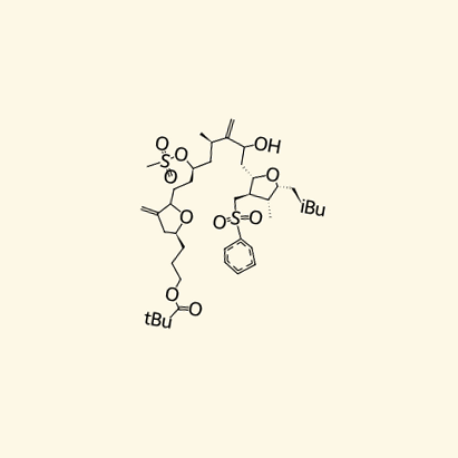 C=C1C[C@H](CCCOC(=O)C(C)(C)C)OC1CC[C@H](C[C@@H](C)C(=C)C(O)C[C@@H]1O[C@H](C[C@H](C)CC)[C@H](C)[C@H]1CS(=O)(=O)c1ccccc1)OS(C)(=O)=O